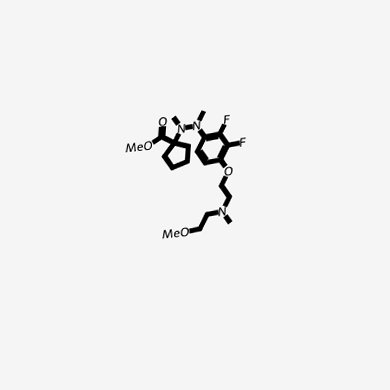 COCCN(C)CCOc1ccc(N(C)N(C)C2(C(=O)OC)CCCC2)c(F)c1F